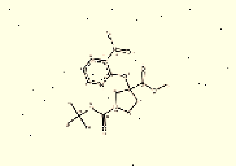 COC(=O)C1(Oc2ncccc2[N+](=O)[O-])CCN(C(=O)OC(C)(C)C)C1